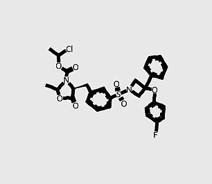 CC(Cl)OC(=O)N1C(C)OC(=O)[C@@H]1Cc1cccc(S(=O)(=O)N2CC(Oc3ccc(F)cc3)(c3ccccc3)C2)c1